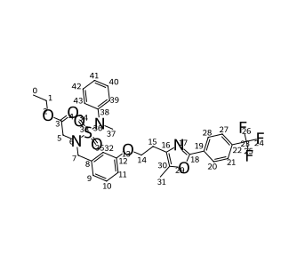 CCOC(=O)CN(Cc1cccc(OCCc2nc(-c3ccc(C(F)(F)F)cc3)oc2C)c1)S(=O)(=O)N(C)c1ccccc1